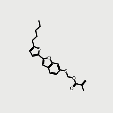 C=C(C)C(=O)OCSc1ccc2cc(-c3ccc(CCCCC)s3)oc2c1